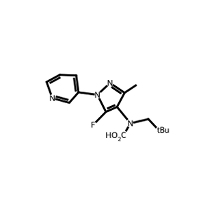 Cc1nn(-c2cccnc2)c(F)c1N(CC(C)(C)C)C(=O)O